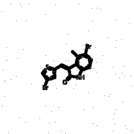 Cc1c(Br)ccc2c1C(=Cc1cc(Br)cs1)C(=O)N2